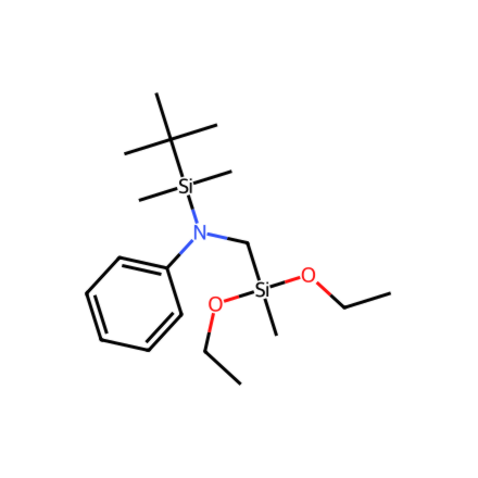 CCO[Si](C)(CN(c1ccccc1)[Si](C)(C)C(C)(C)C)OCC